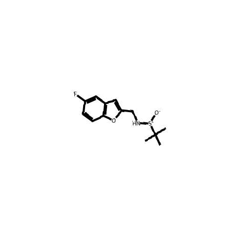 CC(C)(C)[S+]([O-])NCc1cc2cc(F)ccc2o1